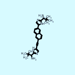 CC(C)(C)C(N)c1ncc(C#Cc2ccc3cc(-c4cnc([C@@H](N)C(C)(C)C)[nH]4)ccc3c2)[nH]1